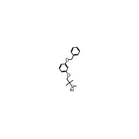 C[SiH](C)C(C)(C)COc1cccc(OCc2ccccc2)c1